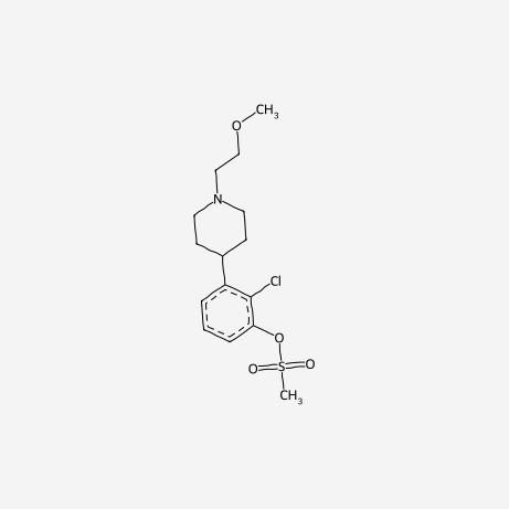 COCCN1CCC(c2cccc(OS(C)(=O)=O)c2Cl)CC1